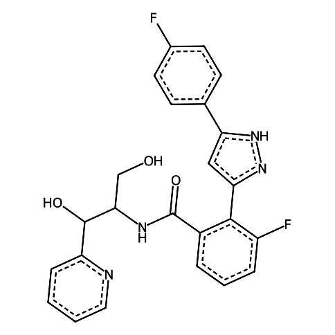 O=C(NC(CO)C(O)c1ccccn1)c1cccc(F)c1-c1cc(-c2ccc(F)cc2)[nH]n1